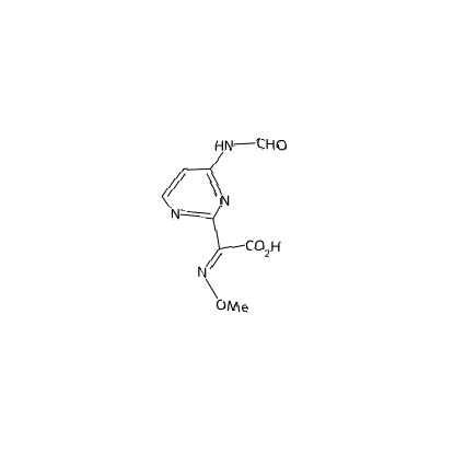 CO/N=C(\C(=O)O)c1nccc(NC=O)n1